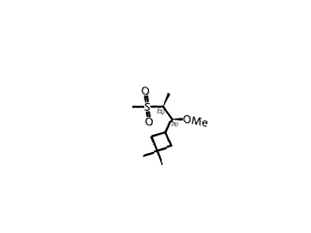 CO[C@@H](C1CC(C)(C)C1)[C@H](C)S(C)(=O)=O